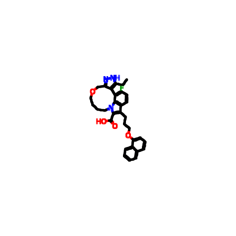 CCc1[nH]nc2c1-c1c(F)ccc3c(CCCOc4cccc5ccccc45)c(C(=O)O)n(c13)CCCCOC2